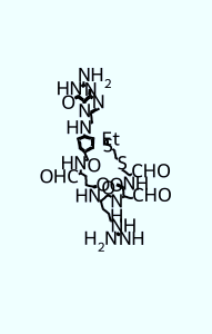 CCSCCSCC(C=O)NC(=O)C(CC=O)NC(=O)C(CCCNC(=N)N)NC(=O)CCC(C=O)NC(=O)c1ccc(NCc2cnc3nc(N)[nH]c(=O)c3n2)cc1